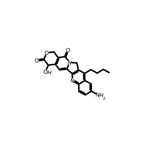 CCCCc1c2c(nc3ccc(N)cc13)-c1cc3c(c(=O)n1C2)COC(=O)C3O